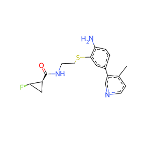 Cc1ccncc1-c1ccc(N)c(SCCNC(=O)[C@H]2C[C@H]2F)c1